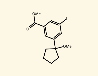 COC(=O)c1cc(F)cc(C2(OC)CCCC2)c1